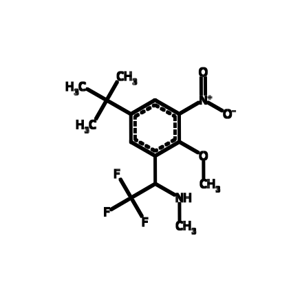 CNC(c1cc(C(C)(C)C)cc([N+](=O)[O-])c1OC)C(F)(F)F